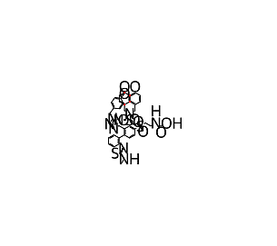 CNc1nc2c(-c3ccc(S(=O)(=O)CCNC(=O)O)c(S(=O)(=O)N(Cc4ccc(OC)cc4)Cc4ccc(OC)cc4)c3-c3nnn(Cc4ccc(OC)cc4)n3)cccc2s1